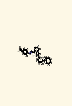 CN(C)c1ccc(/C=C/CN2CCCC2CNc2nccc(N3CCCCCC3)n2)cc1